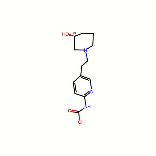 O=C(O)Nc1ccc(CCN2CCC[C@H](O)C2)cn1